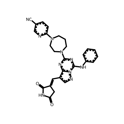 N#Cc1ccc(N2CCCN(c3nc(Nc4ccccc4)n4ncc(/C=C5\CC(=O)NC5=O)c4n3)CC2)nc1